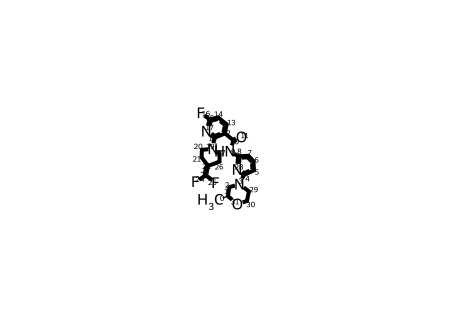 C[C@@H]1CN(c2cccc(NC(=O)c3ccc(F)nc3N3CCC(=C(F)F)CC3)n2)CCO1